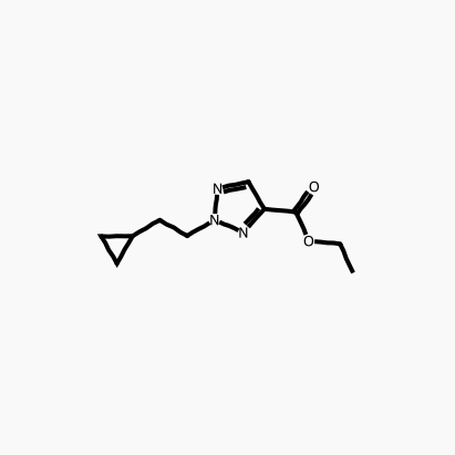 CCOC(=O)c1cnn(CCC2CC2)n1